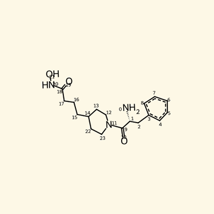 N[C@H](Cc1ccccc1)C(=O)N1CCC(CCCC(=O)NO)CC1